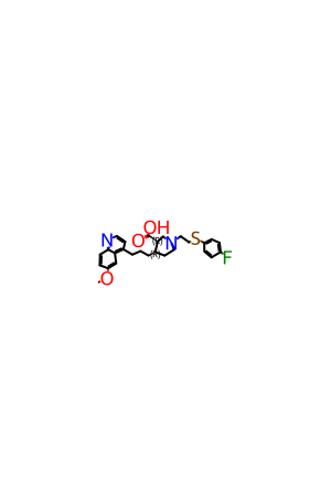 COc1ccc2nccc(CCC[C@@H]3CCN(CCSc4ccc(F)cc4)C[C@@H]3C(=O)O)c2c1